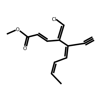 C#CC(=C/C=C\C)/C(/C=C/C(=O)OC)=C/Cl